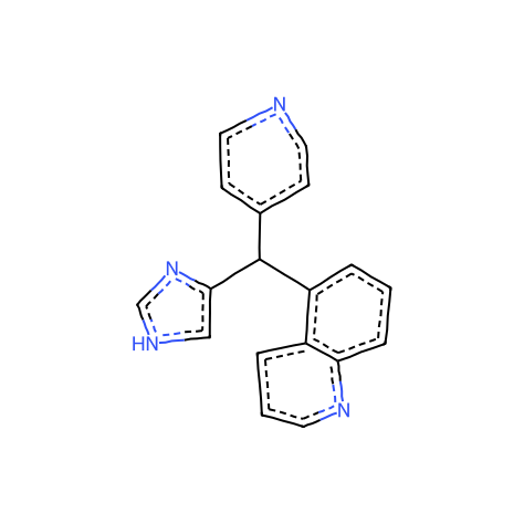 c1cc(C(c2ccncc2)c2c[nH]cn2)c2cccnc2c1